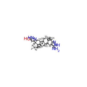 CC1(C)CC[C@]2(c3cc(O)[nH]n3)CC[C@]3(C)C(=CCC4[C@@]5(C)Cc6c(n[nH]c6N)C(C)(C)[C@@H]5CC[C@]43C)[C@@H]2C1